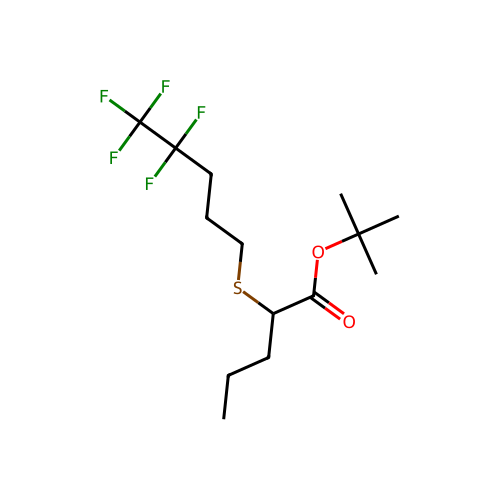 CCCC(SCCCC(F)(F)C(F)(F)F)C(=O)OC(C)(C)C